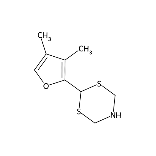 Cc1coc(C2SCNCS2)c1C